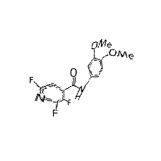 COc1ccc(NC(=O)c2cc(F)nc(F)c2F)cc1OC